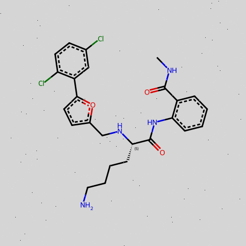 CNC(=O)c1ccccc1NC(=O)[C@H](CCCCN)NCc1ccc(-c2cc(Cl)ccc2Cl)o1